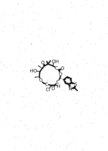 Cc1nc2cc([C@@H]3C[C@@H]4O[C@]4(Cl)CCO[C@@H](C)[C@@H](O)[C@@H](C)C(=O)C(C)(C)[C@@H](O)CC(=O)O3)ccc2s1